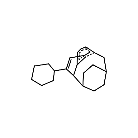 C1=C(C2CCCCC2)C2c3cccc(c31)CC1CCC2CC1